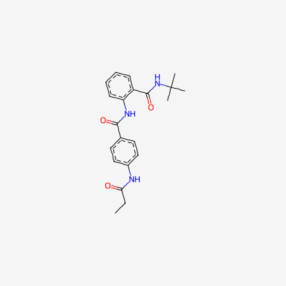 CCC(=O)Nc1ccc(C(=O)Nc2ccccc2C(=O)NC(C)(C)C)cc1